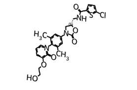 Cc1cc(N2C[C@H](CNC(=O)c3ccc(Cl)s3)OC2=O)cc(C)c1-n1cccc(OCCO)c1=O